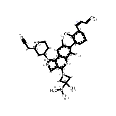 C=C/C=C\c1cccc(-c2c(Cl)cc3c(nc(N4CC(C)(N(C)C)C4)c4cnn(C5CCN[C@H](CC#N)C5)c43)c2F)c1Cl